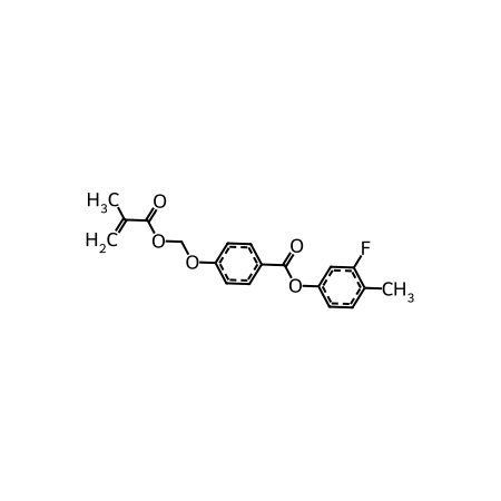 C=C(C)C(=O)OCOc1ccc(C(=O)Oc2ccc(C)c(F)c2)cc1